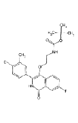 Cc1cc(-c2[nH]c(=O)c3cc(F)ccc3c2OCCNC(=O)OC(C)(C)C)ccc1Cl